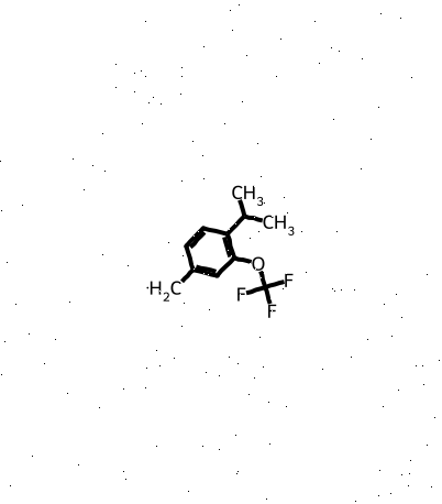 [CH2]c1ccc(C(C)C)c(OC(F)(F)F)c1